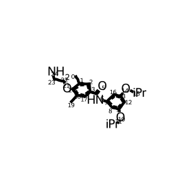 Cc1cc(C(=O)Nc2cc(OC(C)C)cc(OC(C)C)c2)cc(C)c1OCCN